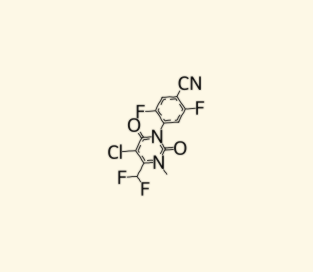 Cn1c(C(F)F)c(Cl)c(=O)n(-c2cc(F)c(C#N)cc2F)c1=O